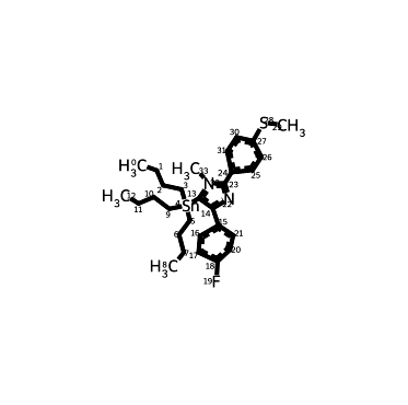 CCC[CH2][Sn]([CH2]CCC)([CH2]CCC)[c]1c(-c2ccc(F)cc2)nc(-c2ccc(SC)cc2)n1C